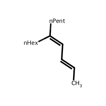 CC=CC=C(CCCCC)CCCCCC